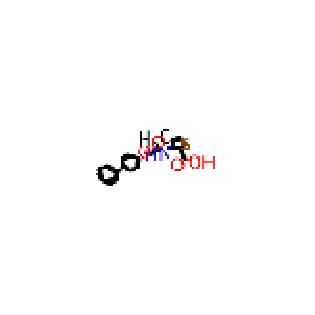 Cc1csc(C(=O)O)c1NC(=O)COc1ccc(-c2ccccc2)cc1